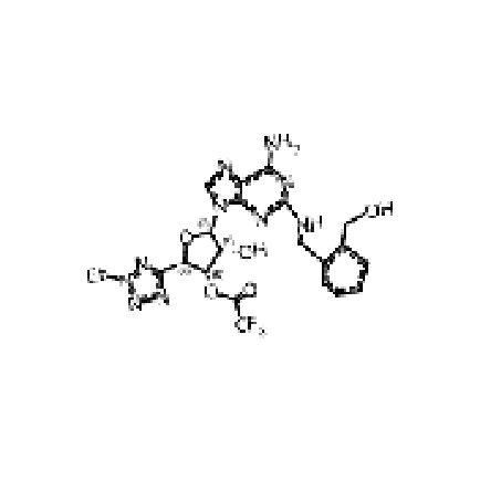 CCn1nnc([C@H]2O[C@@H](n3cnc4c(N)nc(NCc5ccccc5CO)nc43)[C@H](O)[C@@H]2OC(=O)C(F)(F)F)n1